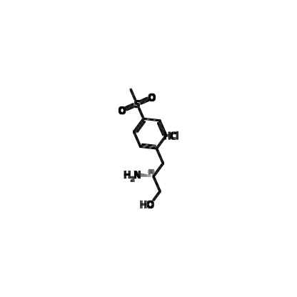 CS(=O)(=O)c1ccc(C[C@@H](N)CO)cc1.Cl